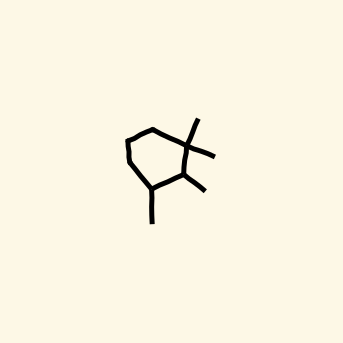 CC1CCCC(C)(C)C1C